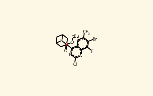 CC(C)(C)OC(=O)N1C2CC1CN(c1nc(Cl)nc3c(F)c(Br)c(C(F)(F)F)cc13)C2